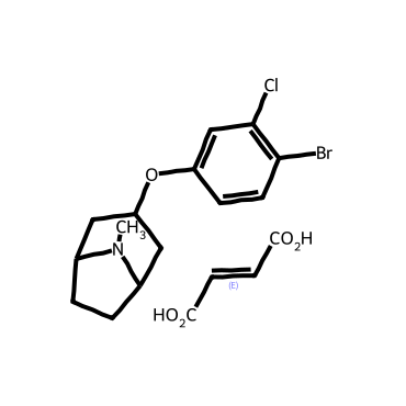 CN1C2CCC1CC(Oc1ccc(Br)c(Cl)c1)C2.O=C(O)/C=C/C(=O)O